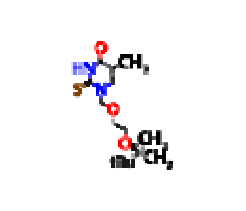 Cc1cn(COCCO[Si](C)(C)C(C)(C)C)c(=S)[nH]c1=O